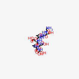 CC(C)C[C@H](NC(=O)[C@H](CC(=O)O)NC(=O)[C@H](CCC(=O)O)NC(=O)[C@@H](NC(=O)CNC(=O)[C@H](CO)NC(=O)CN)C(C)C)C(=O)N[C@@H](CO)C(=O)O